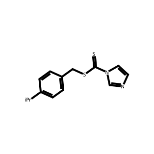 CC(C)c1ccc(CSC(=S)n2ccnc2)cc1